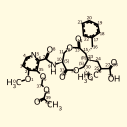 COc1ccnc(C(=O)N[C@H]2COC(=O)[C@H](Cc3ccccc3)[C@@H](CC(C)C(=O)O)[C@H](C)OC2=O)c1OCOC(C)=O